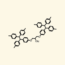 Cc1ccc(C(c2ccc(C)cc2)C(c2ccc(C)cc2)c2ccc(OCC(O)COc3ccc(C(c4ccc(C)cc4)C(c4ccc(C)cc4)c4ccc(C)cc4)cc3)cc2)cc1